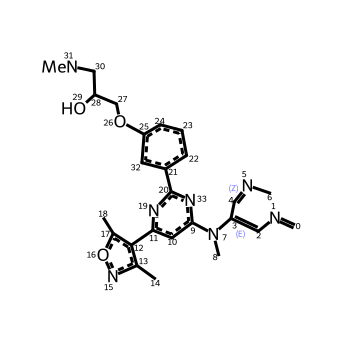 C=N/C=C(\C=N/C)N(C)c1cc(-c2c(C)noc2C)nc(-c2cccc(OCC(O)CNC)c2)n1